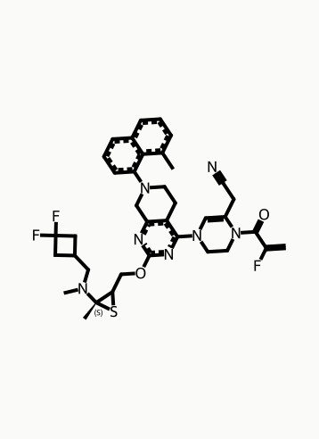 C=C(F)C(=O)N1CCN(c2nc(OCC3S[C@]3(C)N(C)CC3CC(F)(F)C3)nc3c2CCN(c2cccc4cccc(C)c24)C3)C=C1CC#N